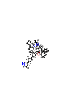 Cc1cncc(-c2ccc(-c3ccc(-c4cc(-c5nc(C)cc(-c6ccccc6-c6ccccc6)n5)cc5c4Oc4ccccc4C54c5ccccc5-c5ccccc54)cc3)cc2)c1